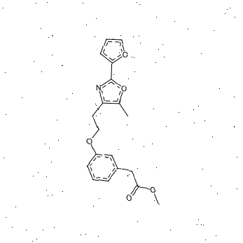 COC(=O)Cc1cccc(OCCc2nc(-c3ccco3)oc2C)c1